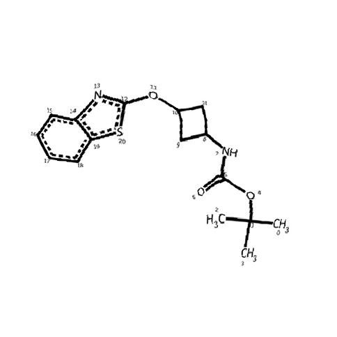 CC(C)(C)OC(=O)NC1CC(Oc2nc3ccccc3s2)C1